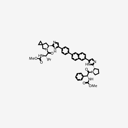 COC(=O)N[C@H](C(=O)N1CC2(CC2)C[C@H]1c1ncc(-c2ccc(-c3ccc4cc(-c5cnc([C@@H]6CCCN6C(=O)[C@H](NC(=O)OC)c6ccccc6)[nH]5)ccc4c3)cc2)[nH]1)C(C)C